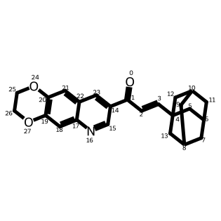 O=C(/C=C/C12CC3CC(CC(C3)C1)C2)c1cnc2cc3c(cc2c1)OCCO3